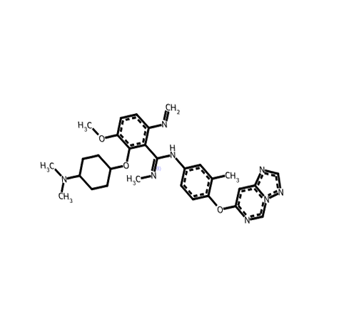 C=Nc1ccc(OC)c(OC2CCC(N(C)C)CC2)c1/C(=N\C)Nc1ccc(Oc2cc3ncnn3cn2)c(C)c1